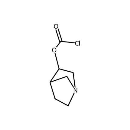 O=C(Cl)OC1CN2CCC1C2